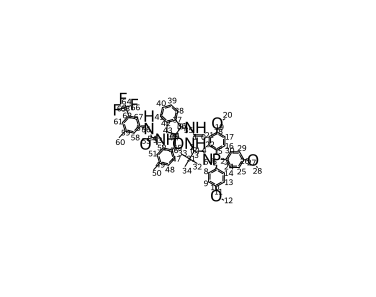 C=C(N[C@@H](CN=P(c1ccc(OC)cc1)(c1ccc(OC)cc1)c1ccc(OC)cc1)C(C)(C)C)N[C@H]1c2ccccc2C[C@@H]1Oc1ccc(C)cc1NC(=O)Nc1cc(C)cc(C(F)(F)F)c1